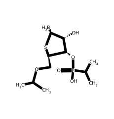 B[C@@H]1S[C@H](COC(C)C)[C@@H](OP(=O)(O)C(C)C)[C@H]1O